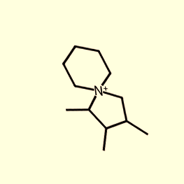 CC1C[N+]2(CCCCC2)C(C)C1C